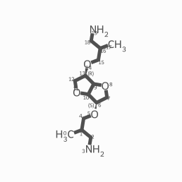 CC(CN)CO[C@H]1COC2C1OC[C@H]2OCC(C)CN